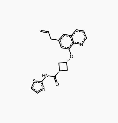 C=CCc1cc(O[C@H]2C[C@H](C(=O)Nc3nccs3)C2)c2ncccc2c1